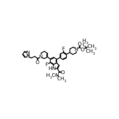 CN(C)C(=O)c1cc2c(-c3ccc(C4CCN(C(=O)OC(C)(C)C)CC4)c(F)c3)cc(C3=CCCN(C(=O)CCn4cccn4)C3)c(F)c2[nH]1